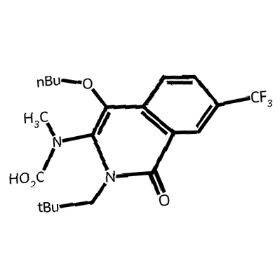 CCCCOc1c(N(C)C(=O)O)n(CC(C)(C)C)c(=O)c2cc(C(F)(F)F)ccc12